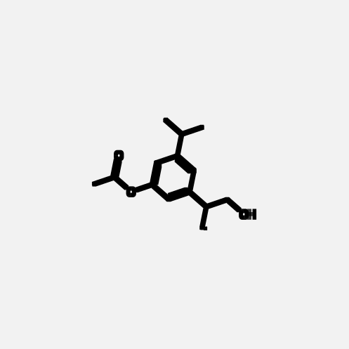 [CH2]C(CO)c1cc(OC(C)=O)cc(C(C)C)c1